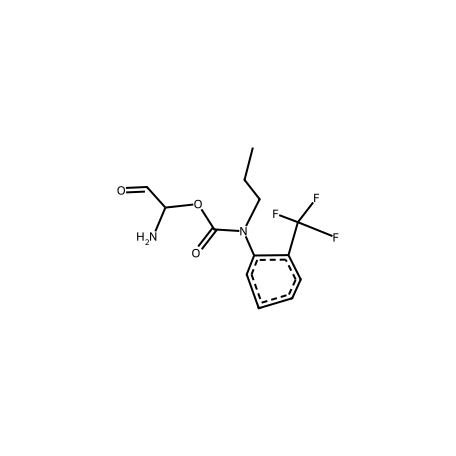 CCCN(C(=O)OC(N)C=O)c1ccccc1C(F)(F)F